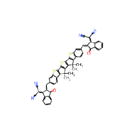 CC1(C)c2c(sc3c2C(C)(C)c2c-3sc3cc(/C=C4\C(=O)c5ccccc5C4=C(C#N)C#N)ccc23)-c2sc3cc(/C=C4\C(=O)c5ccccc5C4=C(C#N)C#N)ccc3c21